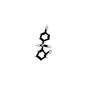 O=S(=O)(c1ccc(Cl)cc1)c1ccccc1Cl